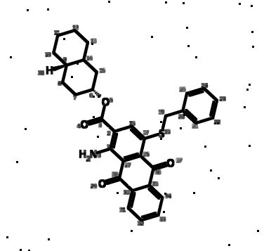 Nc1c(C(=O)O[C@@H]2CC[C@@H]3CCCCC3C2)cc(SCc2ccccc2)c2c1C(=O)c1ccccc1C2=O